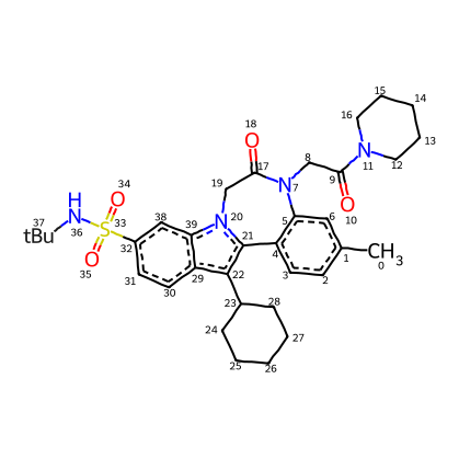 Cc1ccc2c(c1)N(CC(=O)N1CCCCC1)C(=O)Cn1c-2c(C2CCCCC2)c2ccc(S(=O)(=O)NC(C)(C)C)cc21